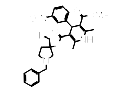 COC(=O)C1=C(C)NC(C)=C(C(=O)OC2(CF)CCN(Cc3ccccc3)C2)C1c1cccc([N+](=O)[O-])c1